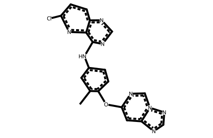 Cc1cc(Nc2ncnc3ccc(Cl)nc23)ccc1Oc1cc2ncnn2cn1